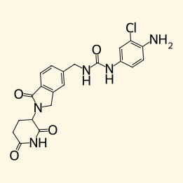 Nc1ccc(NC(=O)NCc2ccc3c(c2)CN(C2CCC(=O)NC2=O)C3=O)cc1Cl